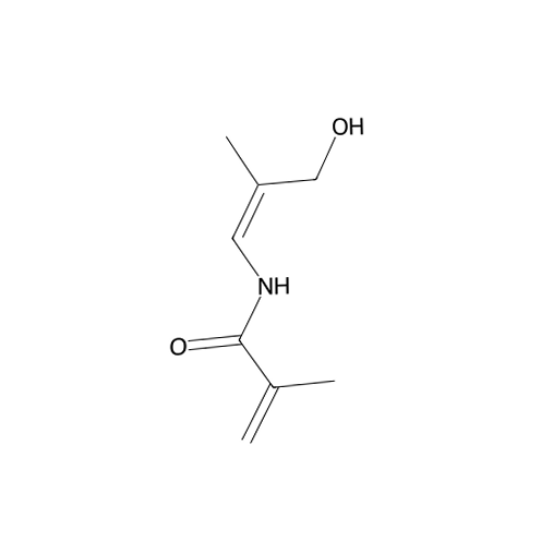 C=C(C)C(=O)NC=C(C)CO